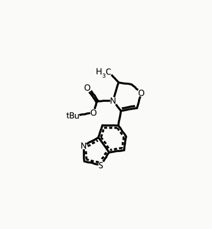 CC1COC=C(c2ccc3scnc3c2)N1C(=O)OC(C)(C)C